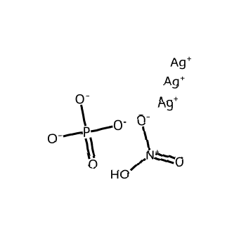 O=P([O-])([O-])[O-].O=[N+]([O-])O.[Ag+].[Ag+].[Ag+]